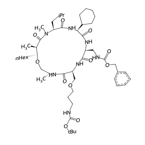 CCCCCC[C@H]1OC[C@@H](C)NC(=O)[C@H](COCCCNC(=O)OC(C)(C)C)NC(=O)[C@H](CNC(=O)OCc2ccccc2)NC(=O)[C@H](C2CCCCC2)NC(=O)[C@H](CC(C)C)N(C)C(=O)[C@@H]1C